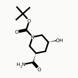 CC(C)(C)OC(=O)N1C[C@H](O)C[C@H](C(N)=O)C1